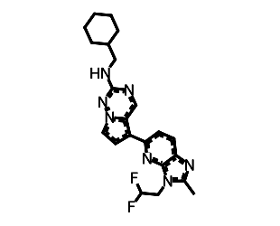 Cc1nc2ccc(-c3ccn4nc(NCC5CCCCC5)ncc34)nc2n1CC(F)F